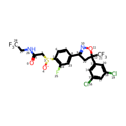 O=C(C[S+]([O-])c1ccc(C2=NOC(c3cc(Cl)cc(Cl)c3)(C(F)(F)F)C2)cc1F)NCC(F)(F)F